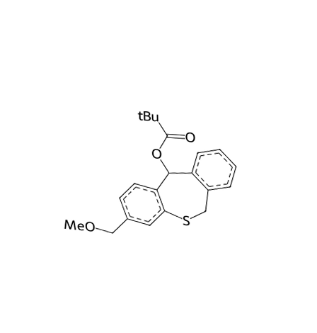 COCc1ccc2c(c1)SCc1ccccc1C2OC(=O)C(C)(C)C